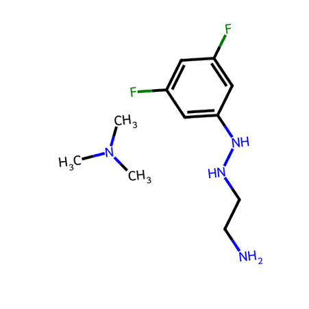 CN(C)C.NCCNNc1cc(F)cc(F)c1